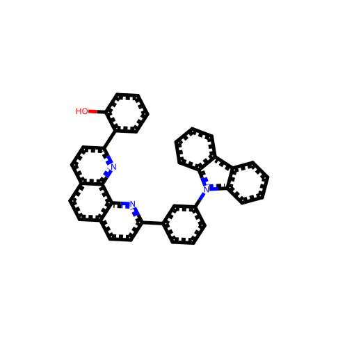 Oc1ccccc1-c1ccc2ccc3ccc(-c4cccc(-n5c6ccccc6c6ccccc65)c4)nc3c2n1